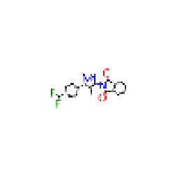 Cc1c(N2C(=O)c3ccccc3C2=O)nn(C)c1-c1ccc(C(F)F)cc1